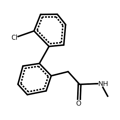 CNC(=O)Cc1ccccc1-c1ccccc1Cl